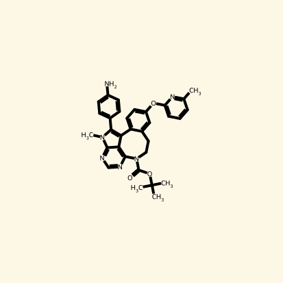 Cc1cccc(Oc2ccc3c(c2)CCN(C(=O)OC(C)(C)C)c2ncnc4c2c-3c(-c2ccc(N)cc2)n4C)n1